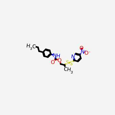 CCCc1ccc(NC(=O)OCC(C)SSc2ccc([N+](=O)[O-])cn2)cc1